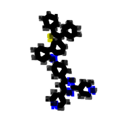 c1ccc(-c2sc3c(ccc4c3c3ccccc3n4-c3ccc(-c4cc(-c5ccncc5)nc(-c5ccncc5)n4)cc3)c2-c2ccccc2)cc1